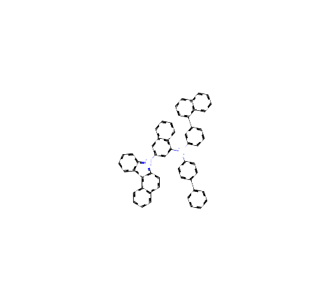 c1ccc(-c2ccc(N(c3cccc(-c4cccc5ccccc45)c3)c3cc(-n4c5ccccc5c5c6ccccc6ccc54)cc4ccccc34)cc2)cc1